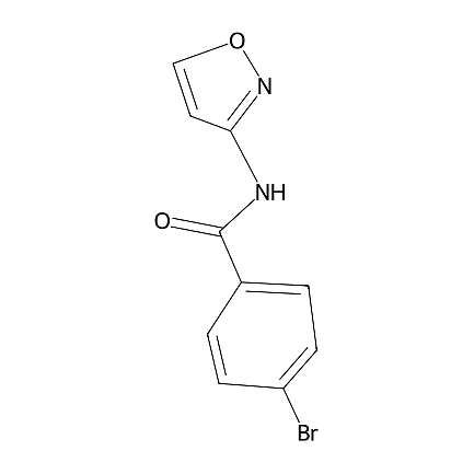 O=C(Nc1ccon1)c1ccc(Br)cc1